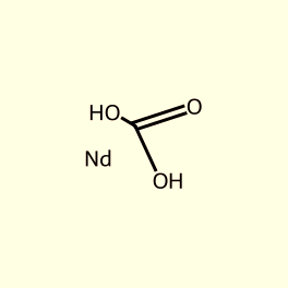 O=C(O)O.[Nd]